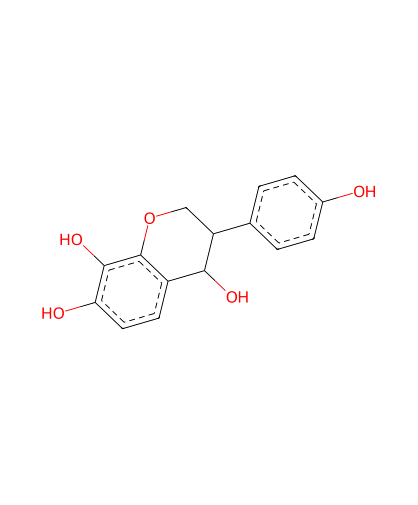 Oc1ccc(C2COc3c(ccc(O)c3O)C2O)cc1